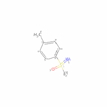 CCS(=N)(=O)c1ccc(C)cc1